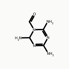 NC1=NC(N)N(C=O)C(N)=N1